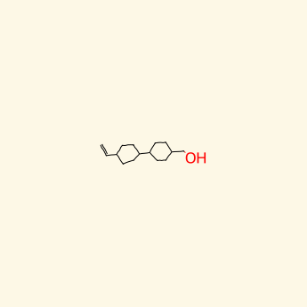 C=CC1CCC(C2CCC(CO)CC2)CC1